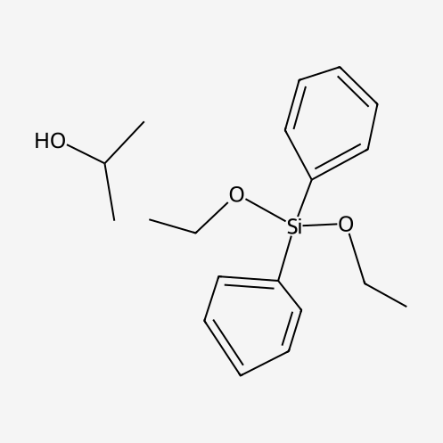 CC(C)O.CCO[Si](OCC)(c1ccccc1)c1ccccc1